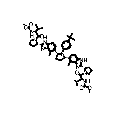 COC(=O)N[C@H](C(=O)N1CCC[C@H]1c1nc2c(C)c([C@H]3CC[C@@H](c4ccc5[nH]c([C@@H]6CCCN6C(=O)[C@@H](NC(=O)OC)C(C)C)nc5c4C)N3c3ccc(C(C)(C)C)cc3)ccc2[nH]1)C(C)C